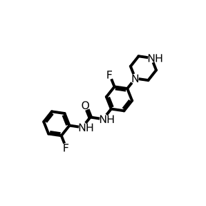 O=C(Nc1ccc(N2CCNCC2)c(F)c1)Nc1ccccc1F